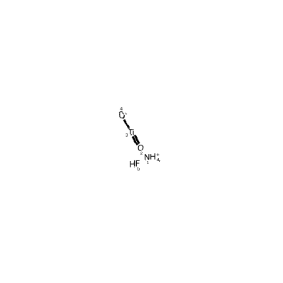 F.[NH4+].[O]=[Ti][O-]